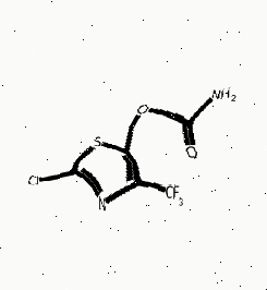 NC(=O)Oc1sc(Cl)nc1C(F)(F)F